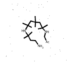 CC(=O)CNC(C)(C)CC(C)(C)CC(C)(C)NC(C)(C)CCN